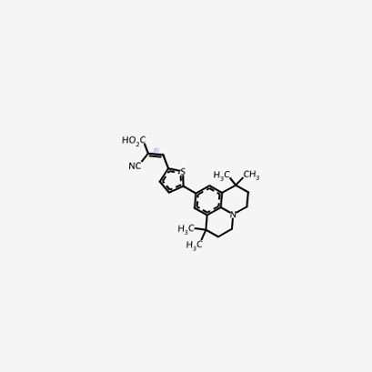 CC1(C)CCN2CCC(C)(C)c3cc(-c4ccc(/C=C(\C#N)C(=O)O)s4)cc1c32